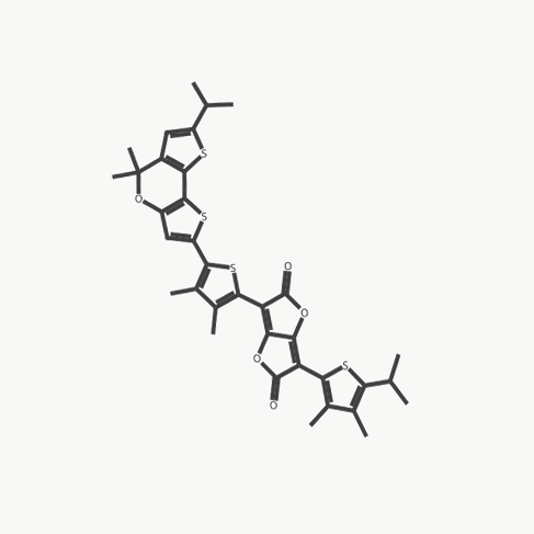 Cc1c(C2=C3OC(=O)C(c4sc(C(C)C)c(C)c4C)=C3OC2=O)sc(-c2cc3c(s2)-c2sc(C(C)C)cc2C(C)(C)O3)c1C